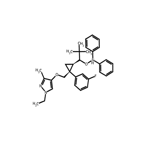 CCn1cc(OC[C@@]2(c3cccc(F)c3)C[C@H]2C(O[SiH](c2ccccc2)c2ccccc2)C(C)(C)C)c(C)n1